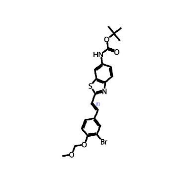 COCOc1ccc(/C=C/c2nc3ccc(NC(=O)OC(C)(C)C)cc3s2)cc1Br